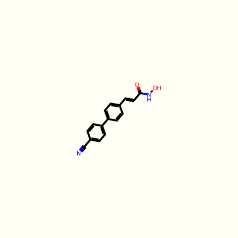 N#Cc1ccc(-c2ccc(/C=C/C(=O)NO)cc2)cc1